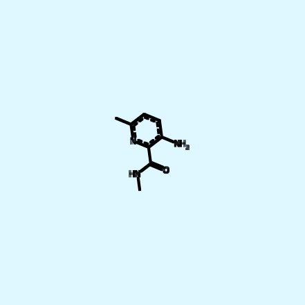 CNC(=O)c1nc(C)ccc1N